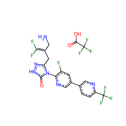 NCC(Cc1n[nH]c(=O)n1-c1ncc(-c2ccc(C(F)(F)F)nc2)cc1F)=C(F)F.O=C(O)C(F)(F)F